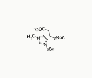 CCCCCCCCCCCC(=O)[O-].CCCCn1cc[n+](C)c1